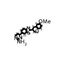 COc1ccc2c(c1)CC(c1nc3ccc(-c4ccnc(N)n4)cc3s1)CO2